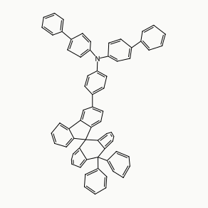 c1ccc(-c2ccc(N(c3ccc(-c4ccccc4)cc3)c3ccc(-c4ccc5c(c4)-c4ccccc4C54c5ccccc5C(c5ccccc5)(c5ccccc5)c5ccccc54)cc3)cc2)cc1